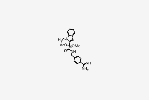 CO[C@@](OC(C)=O)(C(=O)NCc1ccc(C(=N)N)cc1)c1nc2ccccc2n1C